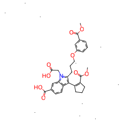 COC(=O)C1=C(c2c(CCCOc3cccc(C(=O)OC)c3)n(CC(=O)O)c3cc(C(=O)O)ccc23)CCC1